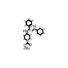 CC(C)(C)OC(=O)N1CCC(N[C@@H](CNC2CCCCC2)c2ccccc2)CC1